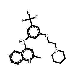 Cc1cc(Nc2cc(OCCN3CCCCC3)cc(C(F)(F)F)c2)c2ccccc2n1